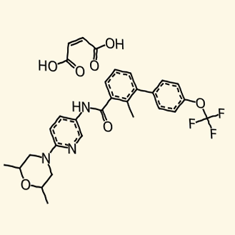 Cc1c(C(=O)Nc2ccc(N3CC(C)OC(C)C3)nc2)cccc1-c1ccc(OC(F)(F)F)cc1.O=C(O)/C=C\C(=O)O